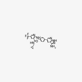 Nc1n[nH]c2ncc(-c3ccc(CNc4ncc(C(F)(F)F)cc4C(=O)NCC4CC4)cc3)cc12